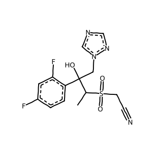 CC(C(O)(Cn1cncn1)c1ccc(F)cc1F)S(=O)(=O)CC#N